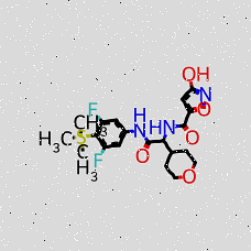 CS(C)(C)c1c(F)cc(NC(=O)C(NC(=O)c2cc(O)no2)C2CCOCC2)cc1F